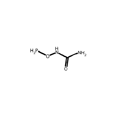 NC(=O)NOP